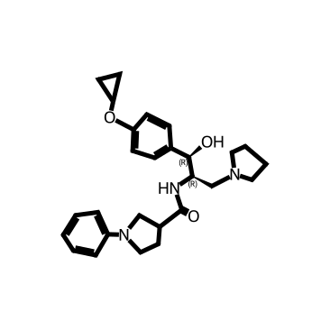 O=C(N[C@H](CN1CCCC1)[C@H](O)c1ccc(OC2CC2)cc1)C1CCN(c2ccccc2)C1